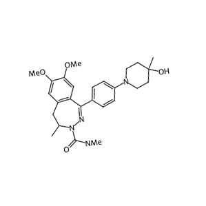 CNC(=O)N1N=C(c2ccc(N3CCC(C)(O)CC3)cc2)c2cc(OC)c(OC)cc2CC1C